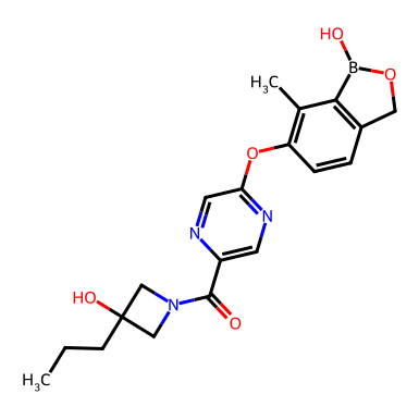 CCCC1(O)CN(C(=O)c2cnc(Oc3ccc4c(c3C)B(O)OC4)cn2)C1